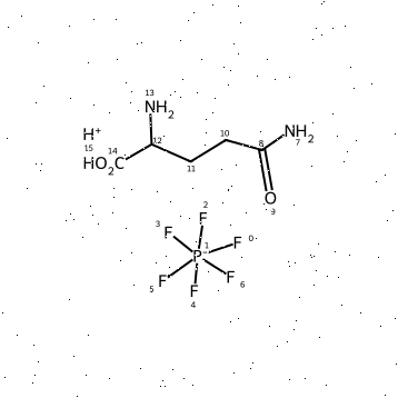 F[P-](F)(F)(F)(F)F.NC(=O)CCC(N)C(=O)O.[H+]